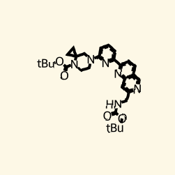 CC(C)(C)OC(=O)NCc1cc2nc(-c3cccc(N4CCN(C(=O)OC(C)(C)C)C5(CC5)C4)n3)ccc2cn1